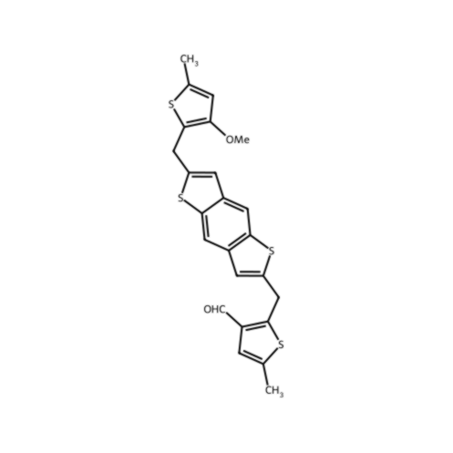 COc1cc(C)sc1Cc1cc2cc3sc(Cc4sc(C)cc4C=O)cc3cc2s1